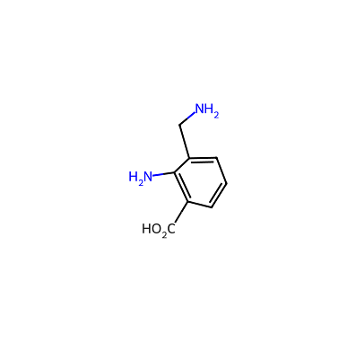 NCc1cccc(C(=O)O)c1N